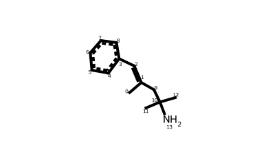 C/C(=C\c1ccccc1)CC(C)(C)N